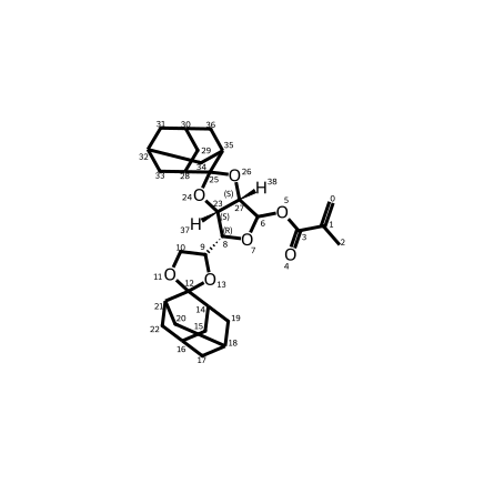 C=C(C)C(=O)OC1O[C@H](C2COC3(O2)C2CC4CC(C2)CC3C4)[C@@H]2OC3(O[C@H]12)C1CC2CC(C1)CC3C2